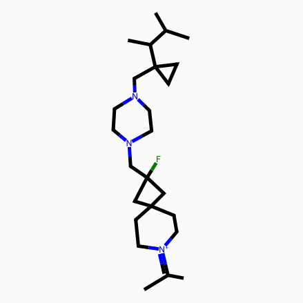 CC(C)=[N+]1CCC2(CC1)CC(F)(CN1CCN(CC3(C(C)C(C)C)CC3)CC1)C2